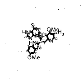 COc1ccc2[nH]c([S+]([O-])Cc3ncc(C)c(OC)c3C)nc2c1.S=c1nc[nH]c2nc[nH]c12